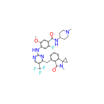 COc1cc(C(=O)NC2CCN(C)CC2)c(F)cc1Nc1ncc(C(F)(F)F)c(Cc2cccc3c2C(=O)N(C)C32CC2)n1